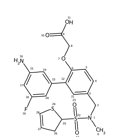 CN(Cc1ccc(OCC(=O)O)c(-c2cc(N)cc(F)c2)c1)S(=O)(=O)C1CC=CS1